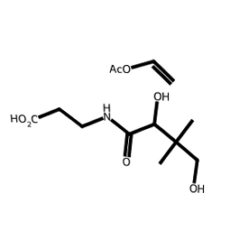 C=COC(C)=O.CC(C)(CO)C(O)C(=O)NCCC(=O)O